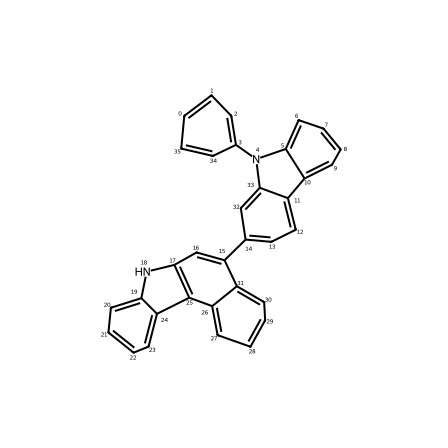 c1ccc(-n2c3ccccc3c3ccc(-c4cc5[nH]c6ccccc6c5c5ccccc45)cc32)cc1